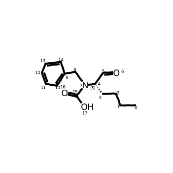 CCCC[C@@H](C=O)N(Cc1ccccc1)C(=O)O